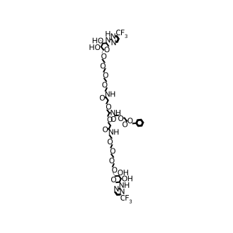 O=C(CCOCC(COCCC(=O)NCCOCCOCCOCCOC[C@H]1OC[C@H](Nc2nccc(C(F)(F)F)n2)[C@@H](O)[C@H]1O)NC(=O)COCC(=O)OCc1ccccc1)NCCOCCOCCOCCOC[C@H]1OC[C@H](Nc2nccc(C(F)(F)F)n2)[C@@H](O)[C@H]1O